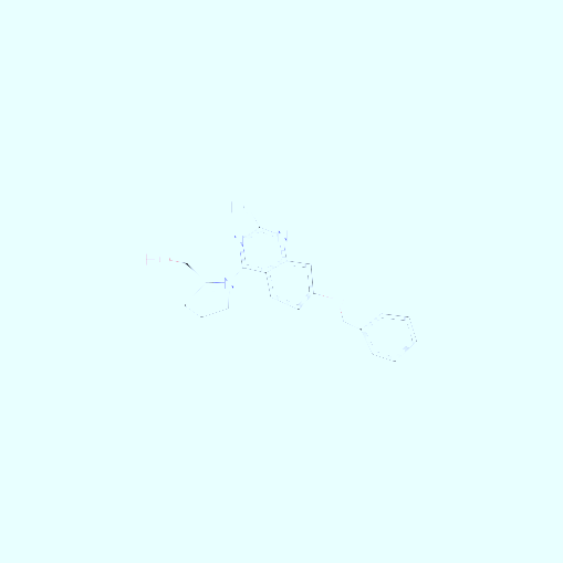 Cc1nc(N2CCC[C@H]2CO)c2ccc(OCc3ccccc3)cc2n1